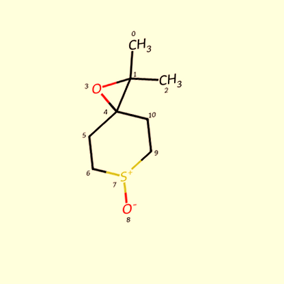 CC1(C)OC12CC[S+]([O-])CC2